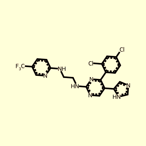 FC(F)(F)c1ccc(NCCNc2ncc(-c3cnc[nH]3)c(-c3ccc(Cl)cc3Cl)n2)nc1